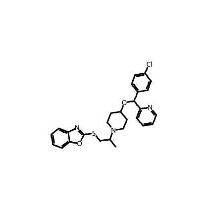 CC(CSc1nc2ccccc2o1)N1CCC(OC(c2ccc(Cl)cc2)c2ccccn2)CC1